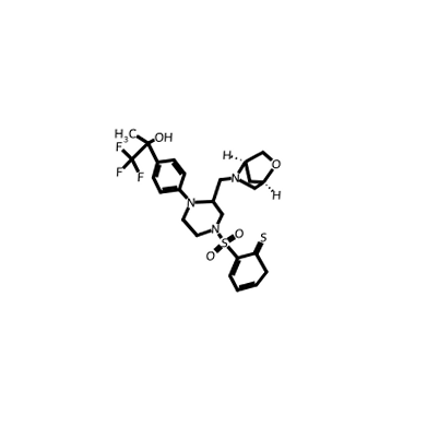 CC(O)(c1ccc(N2CCN(S(=O)(=O)C3=CC=CCC3=S)CC2CN2C[C@H]3C[C@@H]2CO3)cc1)C(F)(F)F